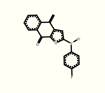 C=C1c2ccccc2C(=O)c2oc([S+]([O-])c3ccc(F)cc3)cc21